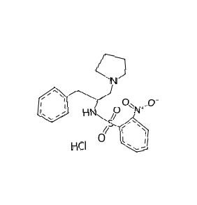 Cl.O=[N+]([O-])c1ccccc1S(=O)(=O)NC(Cc1ccccc1)CN1CCCC1